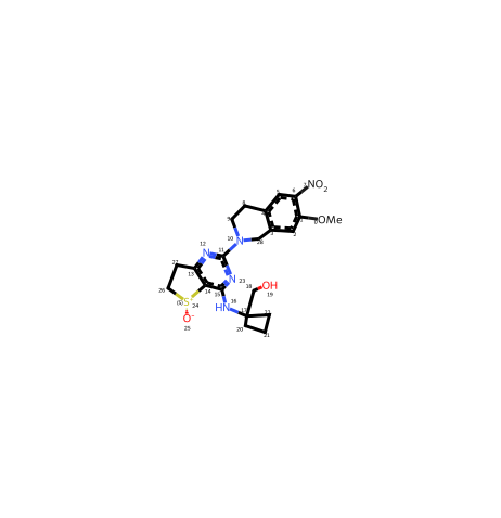 COc1cc2c(cc1[N+](=O)[O-])CCN(c1nc3c(c(NC4(CO)CCC4)n1)[S@+]([O-])CC3)C2